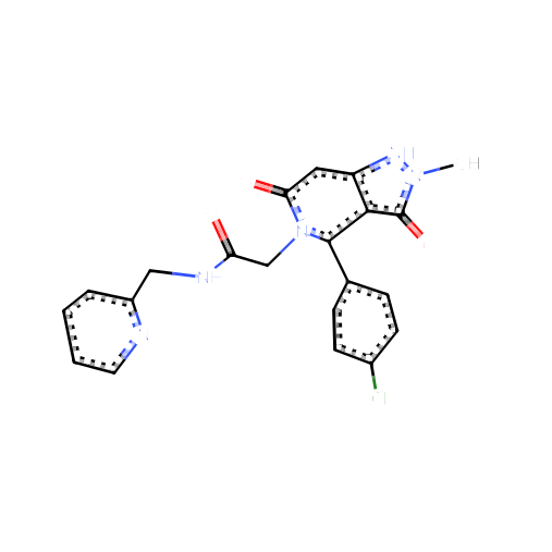 Cn1[nH]c2cc(=O)n(CC(=O)NCc3ccccn3)c(-c3ccc(Cl)cc3)c2c1=O